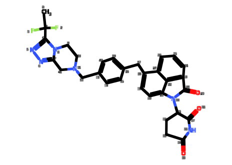 CC(F)(F)c1nnc2n1CCN(Cc1ccc(Cc3ccc4c5c(cccc35)C(=O)N4C3CCC(=O)NC3=O)cc1)C2